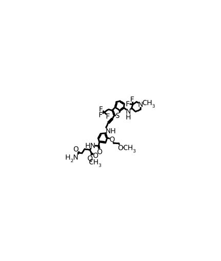 COCCOc1cc(C(=O)NC(CCC(N)=O)C(=O)OC)ccc1NCC#Cc1sc2c(NC3CCN(C)CC3(F)F)cccc2c1CC(F)(F)F